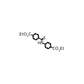 CCOC(=O)c1ccc(NC(=S)c2ccc(C(=O)OCC)cc2)cc1